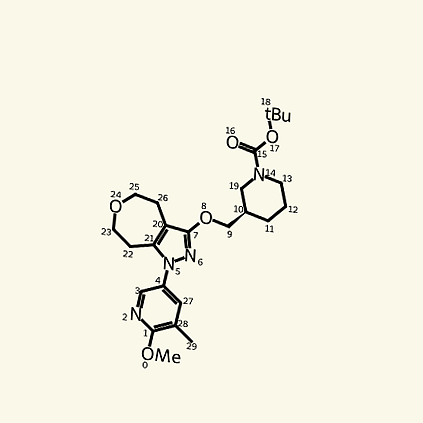 COc1ncc(-n2nc(OC[C@@H]3CCCN(C(=O)OC(C)(C)C)C3)c3c2CCOCC3)cc1C